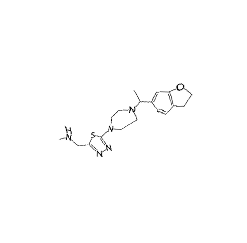 CNCc1nnc(N2CCN(C(C)c3ccc4c(c3)OCC4)CC2)s1